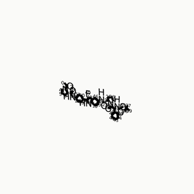 CC(=O)N1CCC[C@H]1C(=O)Nc1ccc(-c2[nH]c3ccc(NC(=O)[C@@H]4CCCN4C(=O)[C@H](NC(=O)OC(C)(C)C)c4ccccc4)cc3c2F)cc1